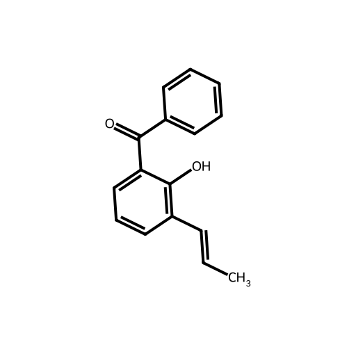 CC=Cc1cccc(C(=O)c2ccccc2)c1O